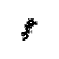 O=C(CBr)NCC(F)(F)c1cccc(F)c1